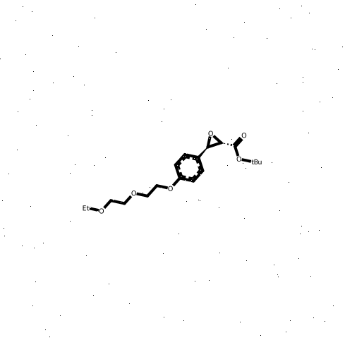 CCOCCOCCOc1ccc([C@H]2O[C@@H]2C(=O)OC(C)(C)C)cc1